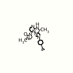 C[C@H](Nc1nccc(N2CCN(C)C2=O)n1)c1cn(-c2ccc(C3CC3)cc2)cn1